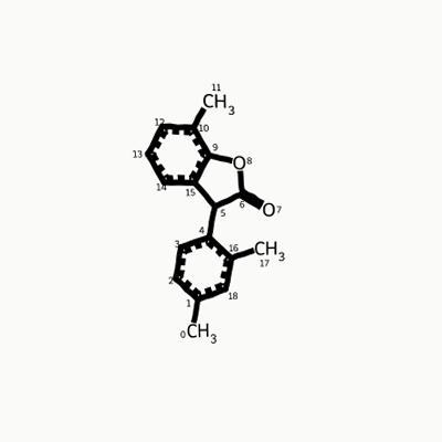 Cc1ccc(C2C(=O)Oc3c(C)cccc32)c(C)c1